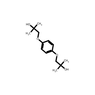 CC(C)(O)COc1ccc(OCC(C)(C)O)cc1